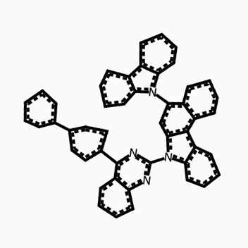 c1ccc(-c2ccc(-c3nc(-n4c5ccccc5c5c6ccccc6c(-n6c7ccccc7c7ccccc76)cc54)nc4ccccc34)cc2)cc1